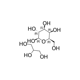 OCC(O)CO.OC[C@H]1O[C@@H](O)[C@H](O)[C@@H](O)[C@H]1O